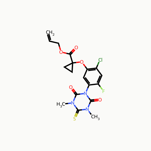 C=CCOC(=O)C1(Oc2cc(-n3c(=O)n(C)c(=S)n(C)c3=O)c(F)cc2Cl)CC1